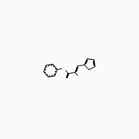 CC(=CC1=CC=CC1)C(=O)Oc1ccccc1